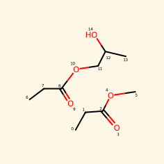 CCC(=O)OC.CCC(=O)OCC(C)O